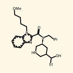 CCC(O)C1CNC[C@@H](N(CC(C)C)C(=O)c2nc3ccccc3n2CCCCOC)C1